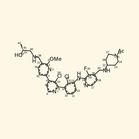 COc1nc(-c2ccnc(-c3cccc(Nc4nccc(CNC5CCN(C(C)=O)CC5)c4F)c3Cl)c2Cl)ccc1CNC[C@H](C)O